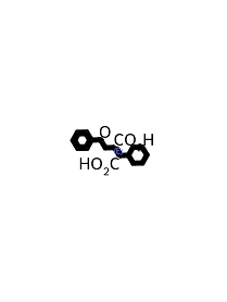 O=C(O)/C(CC(=O)c1ccccc1)=C(/C(=O)O)C1CCCCC1